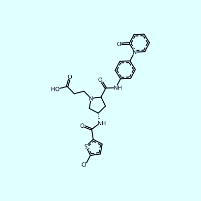 O=C(O)CCN1C[C@@H](NC(=O)c2ccc(Cl)s2)CC1C(=O)Nc1ccc(-n2ccccc2=O)cc1